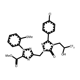 COC(=O)c1nc(Cn2nc(-c3ccc(Cl)cc3)n(CC(O)C(F)(F)F)c2=O)nn1-c1ccccc1SC